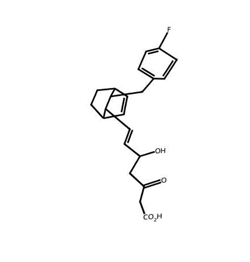 O=C(O)CC(=O)CC(O)/C=C/C1C2C=CC(CC2)C1Cc1ccc(F)cc1